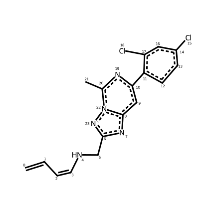 C=C/C=C\NCc1nc2cc(-c3ccc(Cl)cc3Cl)nc(C)n2n1